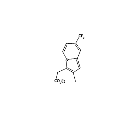 CCOC(=O)Cc1c(C)cc2cc(C(F)(F)F)ccn12